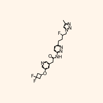 Cc1cn(CC(F)CCc2ccc(NC(=O)Cc3cncc(OC4CC(F)(F)C4)c3)nn2)nn1